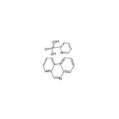 O=P(O)(O)c1ccccn1.c1ccc2c(c1)cnc1ccccc12